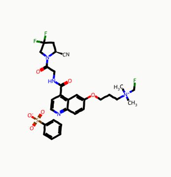 C[N+](C)(CF)CCCOc1ccc2nccc(C(=O)NCC(=O)N3CC(F)(F)C[C@H]3C#N)c2c1.O=S(=O)([O-])c1ccccc1